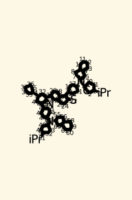 CC(C)c1ccc(N(c2ccc3ccccc3c2)c2ccc3c(c2)sc2ccc4c(ccc5c6cc(-c7ccccc7)cc7c8ccc(N(c9ccc(C(C)C)cc9)c9ccc%10ccccc%10c9)cc8n(c45)c76)c23)cc1